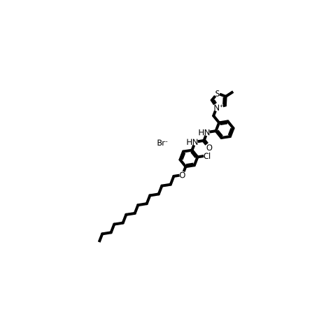 CCCCCCCCCCCCCCOc1ccc(NC(=O)Nc2ccccc2C[n+]2csc(C)c2)c(Cl)c1.[Br-]